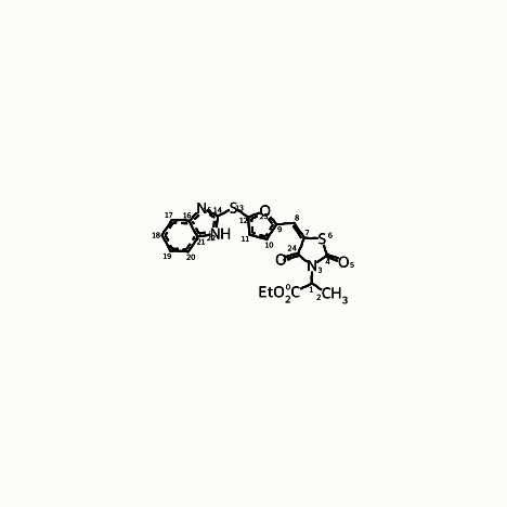 CCOC(=O)C(C)N1C(=O)SC(=Cc2ccc(Sc3nc4ccccc4[nH]3)o2)C1=O